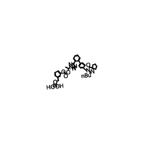 CCCCC1=NC2(CCCC2)C(=O)N1Cc1ccc(-c2ccccc2-c2nnn(C(C)OC(=O)Oc3cccc(CON(O)O)c3)n2)cc1